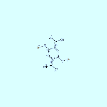 [C-]#[N+]/C(C#N)=c1/cc(CBr)/c(=C(\C#N)[N+]#[C-])cc1CBr